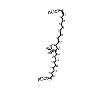 CCCCCCCC/C=C\CCCCCCCCCCC(CCCCCCCC/C=C\CCCCCCCC)[N+](C)(C)C